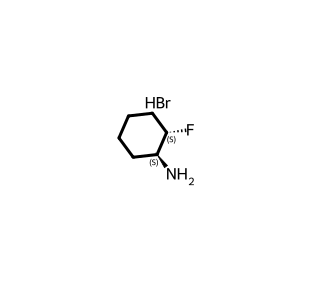 Br.N[C@H]1CCCC[C@@H]1F